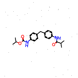 CC(C)OC(=O)Nc1ccc(Cc2ccc(NC(=O)C(C)C)cc2)cc1